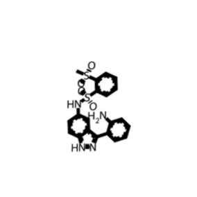 CS(=O)(=O)c1ccccc1S(=O)(=O)Nc1ccc2[nH]nc(-c3ccccc3N)c2c1